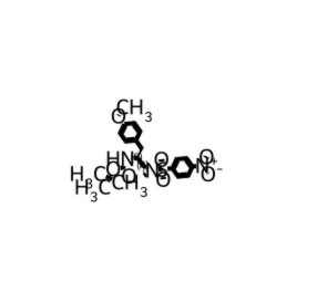 COc1ccc(C[C@H](NC(=O)OC(C)(C)C)[C@H]2CN2S(=O)(=O)c2ccc([N+](=O)[O-])cc2)cc1